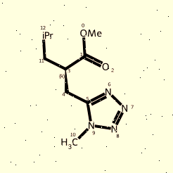 COC(=O)[C@@H](Cc1nnnn1C)CC(C)C